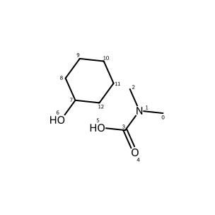 CN(C)C(=O)O.OC1CCCCC1